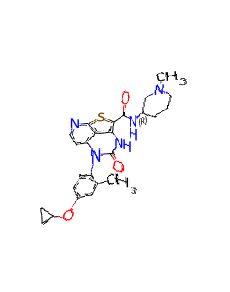 Cc1cc(OC2CC2)ccc1N1C(=O)Nc2c(C(=O)N[C@@H]3CCCN(C)C3)sc3nccc1c23